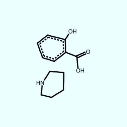 C1CCNCC1.O=C(O)c1ccccc1O